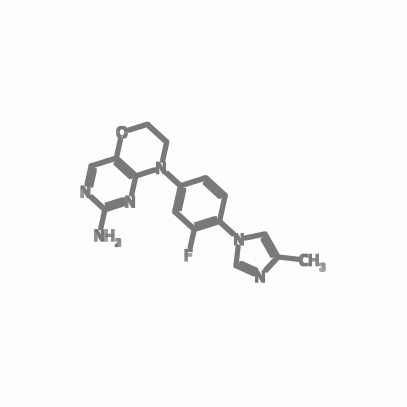 Cc1cn(-c2ccc(N3CCOc4cnc(N)nc43)cc2F)cn1